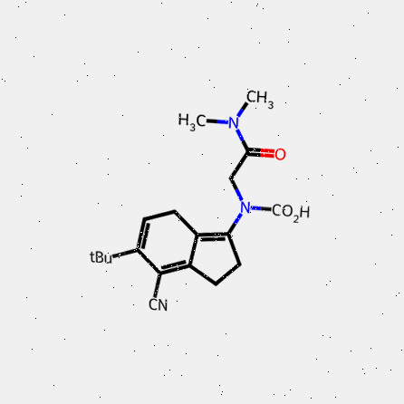 CN(C)C(=O)CN(C(=O)O)C1=C2CC=C(C(C)(C)C)C(C#N)=C2CC1